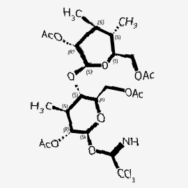 CC(=O)OC[C@H]1O[C@@H](O[C@H]2[C@H](C)[C@@H](OC(C)=O)[C@H](OC(=N)C(Cl)(Cl)Cl)O[C@@H]2COC(C)=O)[C@H](OC(C)=O)[C@@H](C)[C@@H]1C